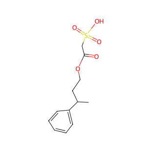 CC(CCOC(=O)CS(=O)(=O)O)c1ccccc1